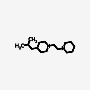 CC(C)CC1CCN(CCN2CCCCC2)CC1